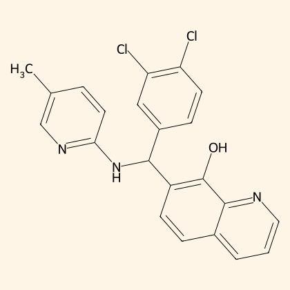 Cc1ccc(NC(c2ccc(Cl)c(Cl)c2)c2ccc3cccnc3c2O)nc1